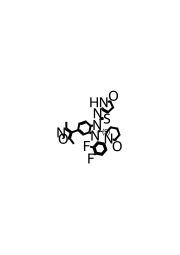 Cc1noc(C)c1C1=CC2N=C([C@@H]3CCCC(=O)N3c3ccc(F)c(F)c3)N(c3nc4c(s3)CC(=O)N4)C2C=C1